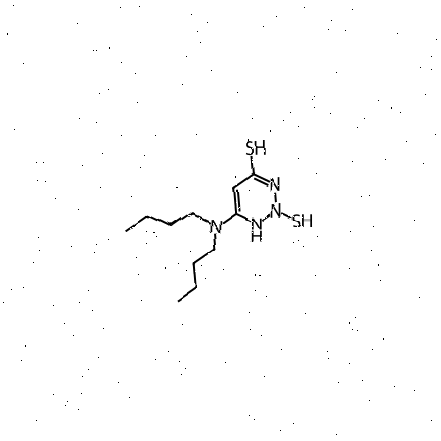 CCCCN(CCCC)C1=CC(S)=NN(S)N1